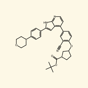 CC(C)(C)OC(=O)N1CCC(Oc2ccc(-c3ccnc4[nH]c(-c5ccc(N6CCOCC6)cc5)cc34)cc2C#N)C1